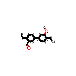 CCc1ccc(-c2ccc(CC)c(OC)c2)cc1C=O